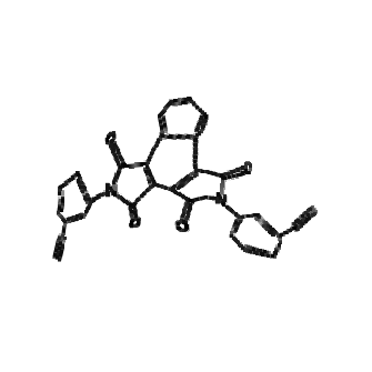 C#Cc1cccc(-n2c(=O)c3c4ccccc4c4c(=O)n(-c5cccc(C#C)c5)c(=O)c4c3c2=O)c1